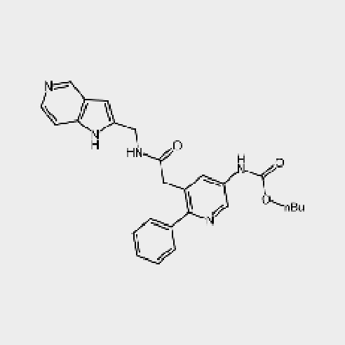 CCCCOC(=O)Nc1cnc(-c2ccccc2)c(CC(=O)NCc2cc3cnccc3[nH]2)c1